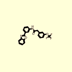 O=C(Cc1cccc(OC(F)(F)F)c1)Nc1cccc(-c2nc3ccccc3o2)c1